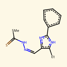 CCc1[nH]c(-c2ccccc2)nc1/C=N\NC(=S)SC